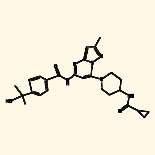 Cc1cc2nc(NC(=O)c3ccc(C(C)(C)O)cc3)cc(N3CCC(NC(=O)C4CC4)CC3)n2n1